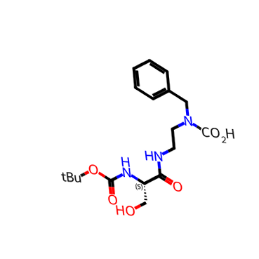 CC(C)(C)OC(=O)N[C@@H](CO)C(=O)NCCN(Cc1ccccc1)C(=O)O